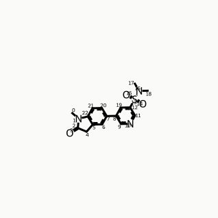 CN1C(=O)Cc2cc(-c3cncc(S(=O)(=O)N(C)C)c3)ccc21